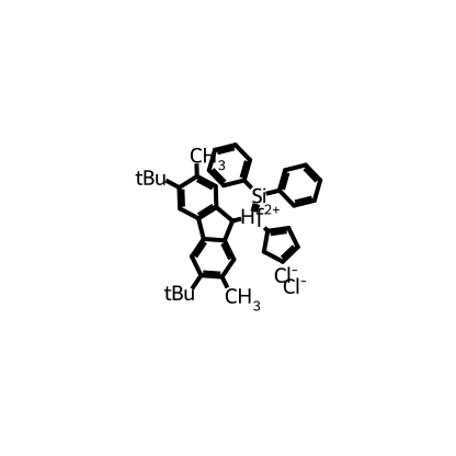 Cc1cc2c(cc1C(C)(C)C)-c1cc(C(C)(C)C)c(C)cc1[CH]2[Hf+2]([C]1=CC=CC1)=[Si](c1ccccc1)c1ccccc1.[Cl-].[Cl-]